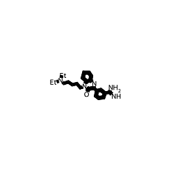 CCN(CC)CCCCCn1c(=O)c(-c2cccc(C(=N)N)c2)nc2ccccc21